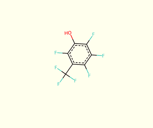 Oc1c(F)c(F)c(F)c(C(F)(F)F)c1F